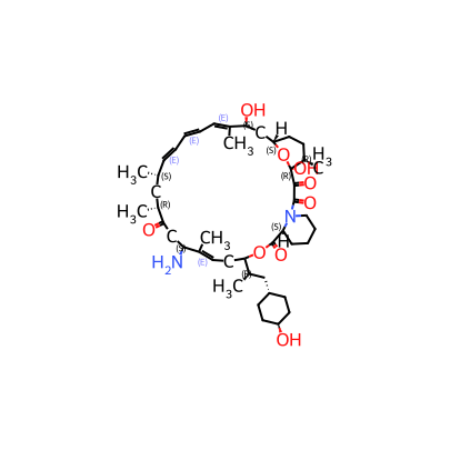 C/C1=C\CC([C@H](C)C[C@H]2CC[C@H](O)CC2)OC(=O)[C@@H]2CCCCN2C(=O)C(=O)[C@]2(O)O[C@@H](CC[C@H]2C)C[C@H](O)/C(C)=C/C=C/C=C/[C@@H](C)C[C@@H](C)C(=O)C[C@@H]1N